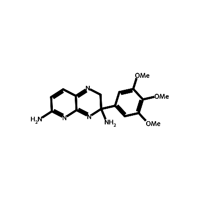 COc1cc(C2(N)CN=c3ccc(N)nc3=N2)cc(OC)c1OC